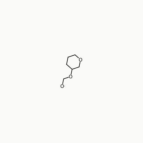 [O]COC1CCCOC1